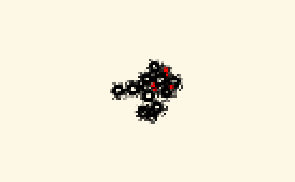 c1ccc(-c2ccc(N(c3ccc(-c4cccc5oc6ccccc6c45)cc3)c3ccc4c(c3)C3(c5ccccc5-4)c4ccccc4C(c4ccccc4)(c4ccccc4)c4ccccc43)cc2)cc1